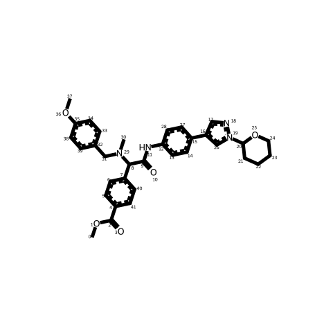 COC(=O)c1ccc(C(C(=O)Nc2ccc(-c3cnn(C4CCCCO4)c3)cc2)N(C)Cc2ccc(OC)cc2)cc1